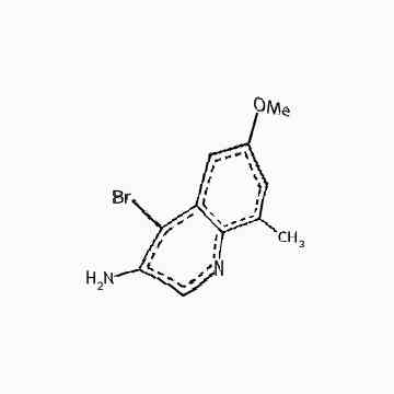 COc1cc(C)c2ncc(N)c(Br)c2c1